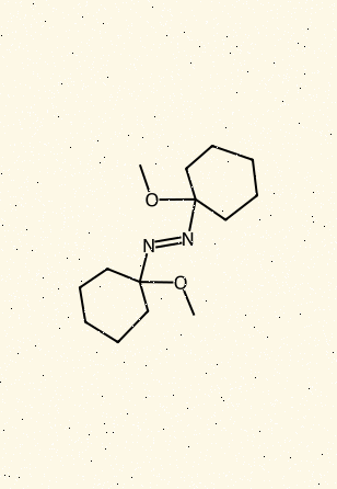 COC1(N=NC2(OC)CCCCC2)CCCCC1